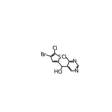 OC(c1cc(Br)c(Cl)s1)c1cncnc1Cl